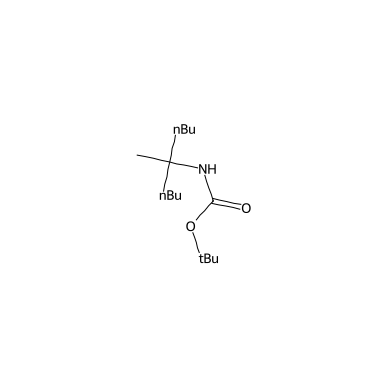 CCCCC(C)(CCCC)NC(=O)OC(C)(C)C